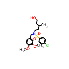 COc1ccc(CN(CCC(C)CCO)S(=O)(=O)c2ccc(Cl)cc2)cc1OC